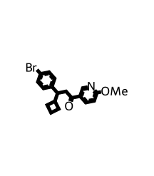 COc1ccc(C(=O)CC(c2ccc(Br)cc2)C2CCC2)cn1